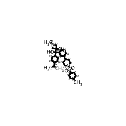 Cc1ccc(S(=O)(=O)N2CCC(c3cncc(C(O)(c4ccc(C(C)C)cc4)C4(C)CN(C)C4)c3)CC2)cc1